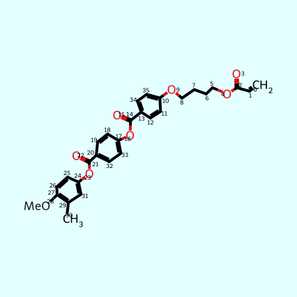 C=CC(=O)OCCCCOc1ccc(C(=O)Oc2ccc(C(=O)Oc3ccc(OC)c(C)c3)cc2)cc1